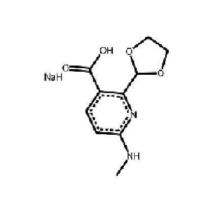 CNc1ccc(C(=O)O)c(C2OCCO2)n1.[NaH]